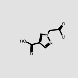 O=C(Cl)Cn1cc(C(=O)O)cn1